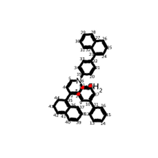 C=C/C=C(\C=C/N(c1ccc(-c2ccccc2)cc1)c1ccc(-c2cccc3ccccc23)cc1)C1=c2ccccc2=CCC1